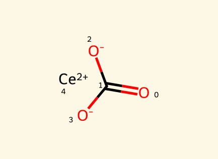 O=C([O-])[O-].[Ce+2]